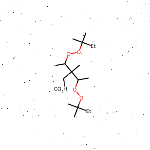 CCC(C)(C)OOC(C)C(C)(CC(=O)O)C(C)OOC(C)(C)CC